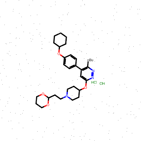 CCCCc1nnc(OC2CCN(CCC3OCCCO3)CC2)cc1-c1ccc(OC2CCCCC2)cc1.Cl.Cl